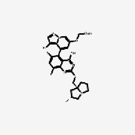 CCc1cnn2cc(OCOC)cc(-c3c(F)cc(F)c4nc(OC[C@@]56CCCN5C[C@H](F)C6)nc(O)c34)c12